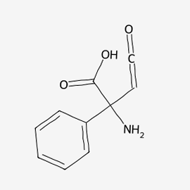 NC(C=C=O)(C(=O)O)c1ccccc1